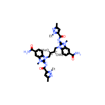 CCn1nc(C)cc1C(=O)/N=c1\n(C)c2cc(C(N)=O)ccc2n1C[C@H](OC)[C@@H](Cn1/c(=N/C(=O)c2cc(C)nn2CC)n(C)c2cc(C(N)=O)ccc21)OC